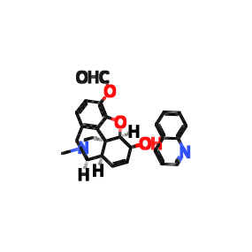 CN1CC[C@]23c4c5ccc(OC=O)c4O[C@H]2[C@@H](O)C=C[C@H]3[C@H]1C5.c1ccc2ncccc2c1